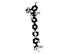 OC(CC(F)(F)F)c1ccc(N2CCN(c3ccc(-c4ccc(C(F)(F)C5(O)Cn6ncnc6-c6cc(F)ccc65)nc4)cc3)CC2)cn1